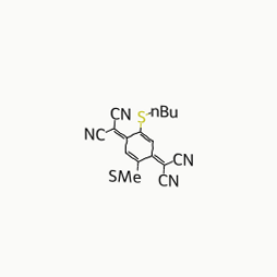 CCCCSc1cc(=C(C#N)C#N)c(SC)cc1=C(C#N)C#N